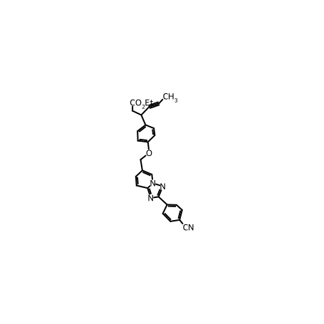 CC#CC(CC(=O)OCC)c1ccc(OCc2ccc3nc(-c4ccc(C#N)cc4)nn3c2)cc1